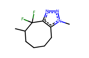 CC1CCCCc2c(nnn2C)C1(F)F